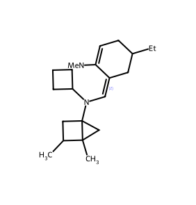 CCC1CC=C(NC)/C(=C\N(C2CCC2)C23CC(C)C2(C)C3)C1